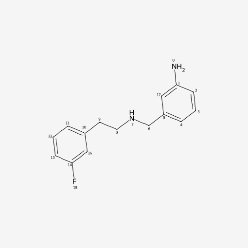 Nc1cccc(CNCCc2cccc(F)c2)c1